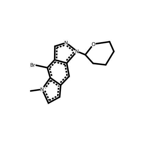 Cn1ccc2cc3c(cnn3C3CCCCO3)c(Br)c21